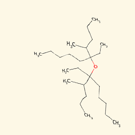 CCCCCC(CC)(OC(CC)(CCCCC)C(C)CCC)C(C)CCC